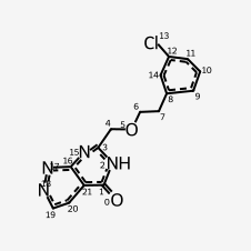 O=c1[nH]c(COCCc2cccc(Cl)c2)nc2nnccc12